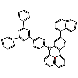 c1ccc(-c2cc(-c3ccccc3)cc(-c3ccc(N(c4ccccc4)c4cc(-c5cccc6ccccc56)ccc4-c4ccccc4)cc3)c2)cc1